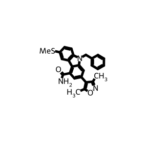 CSc1ccc2c(c1)c1c(C(N)=O)cc(-c3c(C)noc3C)cc1n2Cc1ccccc1